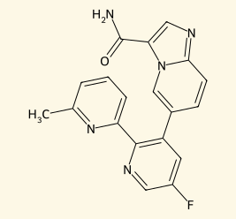 Cc1cccc(-c2ncc(F)cc2-c2ccc3ncc(C(N)=O)n3c2)n1